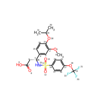 COc1cc([C@@H](CC(=O)O)NS(=O)(=O)c2ccc(OC(F)(F)F)cc2)ccc1OC(C)C